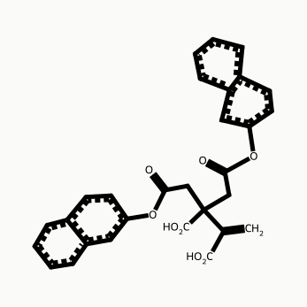 C=C(C(=O)O)C(CC(=O)Oc1ccc2ccccc2c1)(CC(=O)Oc1ccc2ccccc2c1)C(=O)O